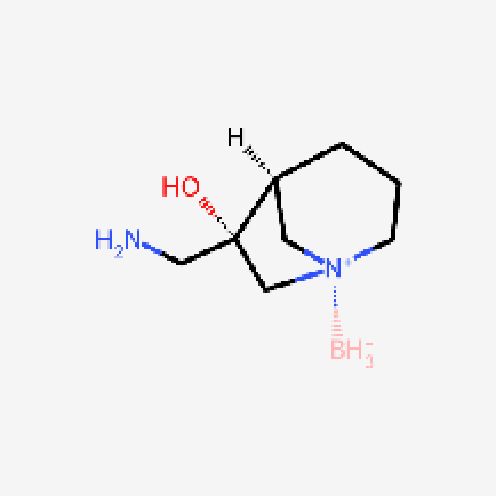 [BH3-][N@@+]12CCC[C@@H](C1)[C@](O)(CN)C2